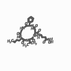 CCCCC1NC(=O)CNC(=O)C(c2ccccc2)NC(=O)CC(C(=O)NCCCC(=O)NO)NC(=O)C(C(C)C)NC1=O